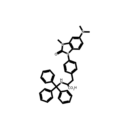 CN(C)c1ccc2c(c1)n(C)c(=O)n2-c1ccc(CC(NC(c2ccccc2)(c2ccccc2)c2ccccc2)C(=O)O)cc1